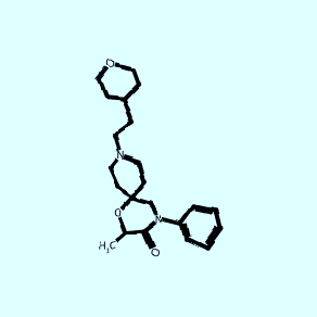 CC1OC2(CCN(CCC3CCOCC3)CC2)CN(c2ccccc2)C1=O